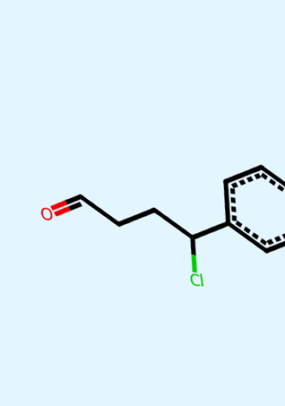 O=CCCC(Cl)c1ccccc1